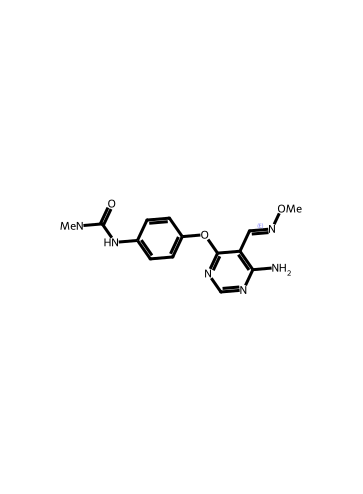 CNC(=O)Nc1ccc(Oc2ncnc(N)c2/C=N/OC)cc1